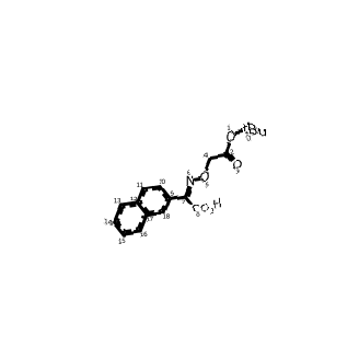 CC(C)(C)OC(=O)CO/N=C(\C(=O)O)c1ccc2ccccc2c1